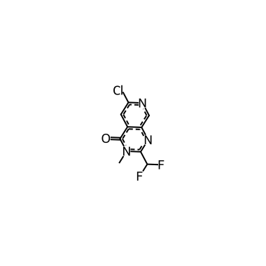 Cn1c(C(F)F)nc2cnc(Cl)cc2c1=O